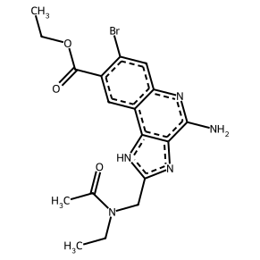 CCOC(=O)c1cc2c(cc1Br)nc(N)c1nc(CN(CC)C(C)=O)[nH]c12